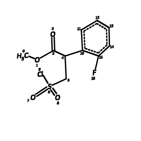 COC(=O)C(CS(=O)(=O)Cl)c1ccccc1F